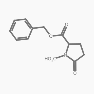 O=C(OCc1ccccc1)C1CCC(=O)N1C(=O)O